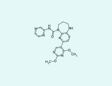 COc1ncc(-c2ccc3c(n2)N(C(=O)Nc2cnccn2)CCCN3)c(OC)n1